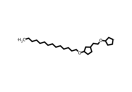 [CH2]CCCCCCCCCCCCCOC1CCC(CCOC2C[CH]CC2)C1